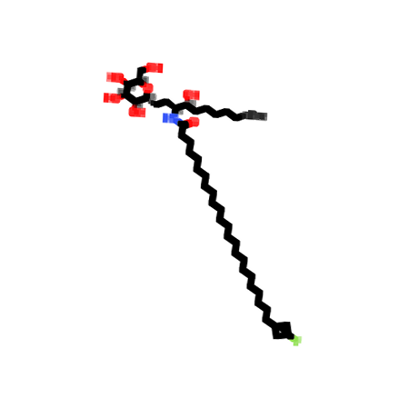 CCCCCCCCCCCCCCC[C@@H](O)[C@H](CC[C@H]1O[C@H](CO)[C@H](O)[C@H](O)[C@H]1O)NC(=O)CCCCCCCCCCCCCCCCCCCCCCCC12CC(F)(C1)C2